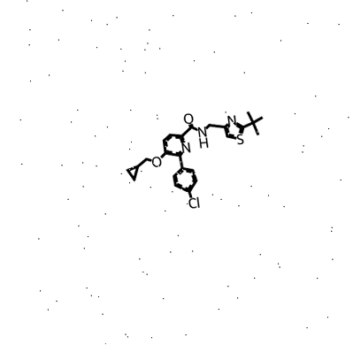 CC(C)(C)c1nc(CNC(=O)c2ccc(OCC3CC3)c(-c3ccc(Cl)cc3)n2)cs1